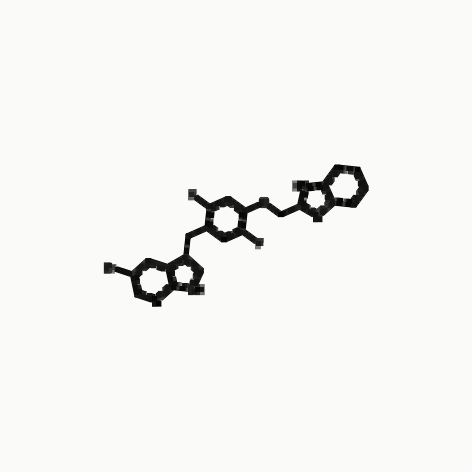 Fc1cc(OCc2nc3ccccc3[nH]2)c(F)cc1Cc1c[nH]c2ncc(Br)cc12